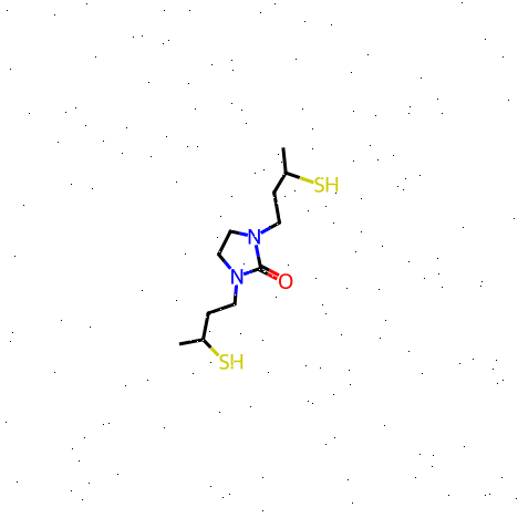 CC(S)CCN1CCN(CCC(C)S)C1=O